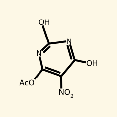 CC(=O)Oc1nc(O)nc(O)c1[N+](=O)[O-]